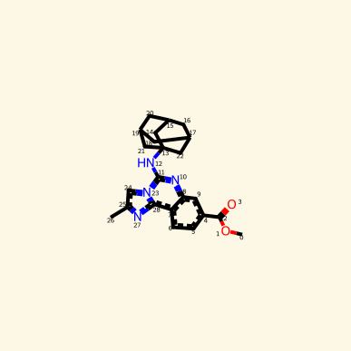 COC(=O)c1ccc2c(c1)nc(NC13CC4CC(CC(C4)C1)C3)n1cc(C)nc21